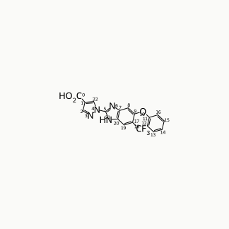 O=C(O)c1cnn(-c2nc3cc(Oc4ccccc4)c(C(F)(F)F)cc3[nH]2)c1